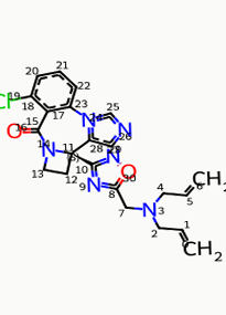 C=CCN(CC=C)Cc1nc([C@@]23CCN2C(=O)c2c(Cl)cccc2-n2cncc23)no1